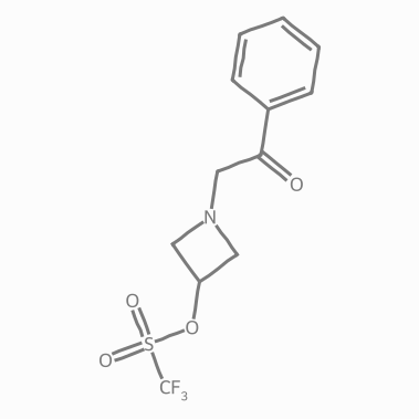 O=C(CN1CC(OS(=O)(=O)C(F)(F)F)C1)c1ccccc1